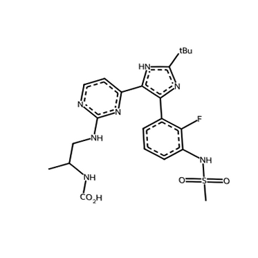 CC(CNc1nccc(-c2[nH]c(C(C)(C)C)nc2-c2cccc(NS(C)(=O)=O)c2F)n1)NC(=O)O